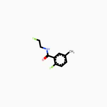 Cc1ccc(F)c(C(=O)NCCF)c1